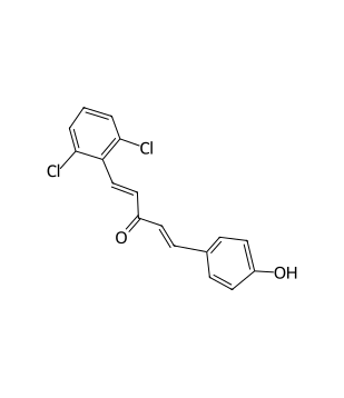 O=C(C=Cc1ccc(O)cc1)C=Cc1c(Cl)cccc1Cl